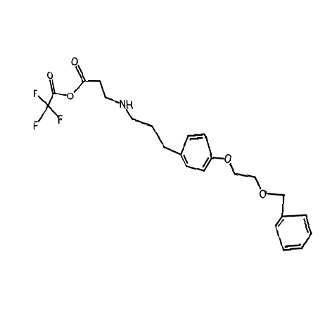 O=C(CCNCCCc1ccc(OCCOCc2ccccc2)cc1)OC(=O)C(F)(F)F